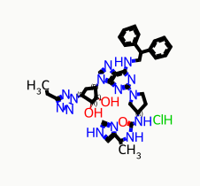 CCc1nnn([C@H]2C[C@@H](n3cnc4c(NCC(c5ccccc5)c5ccccc5)nc(N5CC[C@@H](NC(=O)NC(C)c6c[nH]cn6)C5)nc43)[C@H](O)[C@@H]2O)n1.Cl